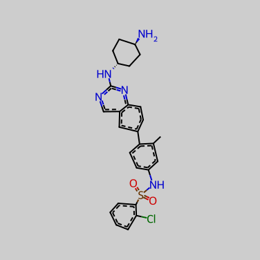 Cc1cc(NS(=O)(=O)c2ccccc2Cl)ccc1-c1ccc2nc(N[C@H]3CC[C@H](N)CC3)ncc2c1